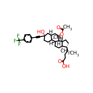 CC(=O)O[C@@H]1C[C@@H]2C[C@@](O)(C#Cc3ccc(C(F)(F)F)cc3)CC[C@]2(C)[C@H]2CC[C@]3(C)[C@@H]([C@H](C)CCC(=O)O)CC[C@H]3[C@H]12